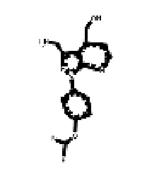 NCc1nn(-c2ccc(OC(F)F)cc2)c2nccc(CO)c12